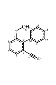 N#Cc1cccc(CO)c1-c1ccccc1